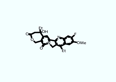 CCc1c2c(nc3cc(F)c(OC)cc13)-c1cc3c(c(=O)n1C2)COC(=O)CC3(O)CC